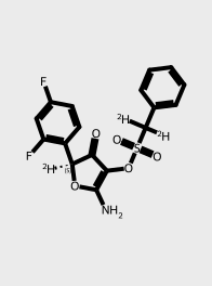 [2H]C([2H])(c1ccccc1)S(=O)(=O)OC1=C(N)O[C@@]([2H])(c2ccc(F)cc2F)C1=O